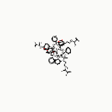 C=C(C)C(=O)OCCC[Si](C)(C)O[Si]1(c2ccccc2)O[Si]2(c3ccccc3)O[Si](O[Si](C)(C)CCCOC(=O)C(=C)C)(c3ccccc3)O[Si]3(c4ccccc4)O[Si](O[Si](C)(C)CCCOC(=O)C(=C)C)(c4ccccc4)O[Si](c4ccccc4)(O1)O[Si](c1ccccc1)(O2)O3